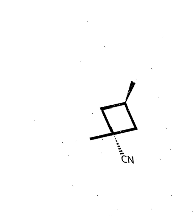 C[C@H]1C[C@](C)(C#N)C1